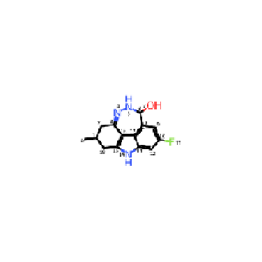 CC1CC2=NNC(O)c3cc(F)cc4[nH]c(c2c34)C1